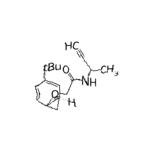 C#CC(C)NC(=O)COC12C=CC(C(C)(C)C)=C[C@H]1C2